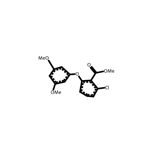 COC(=O)c1c(Cl)cccc1Oc1cc(OC)cc(OC)c1